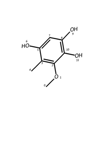 COc1c(C)c(O)cc(O)c1O